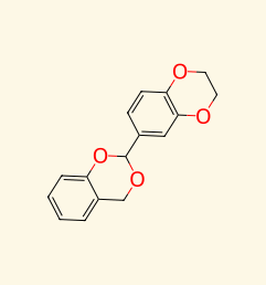 c1ccc2c(c1)COC(c1ccc3c(c1)OCCO3)O2